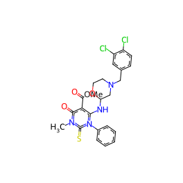 COC(=O)c1c(NC2CN(Cc3ccc(Cl)c(Cl)c3)CCO2)n(-c2ccccc2)c(=S)n(C)c1=O